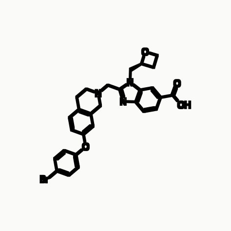 O=C(O)c1ccc2nc(CN3CCc4ccc(Oc5ccc(Br)cc5)cc4C3)n(C[C@@H]3CCO3)c2c1